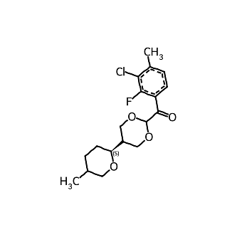 Cc1ccc(C(=O)C2OCC([C@@H]3CCC(C)CO3)CO2)c(F)c1Cl